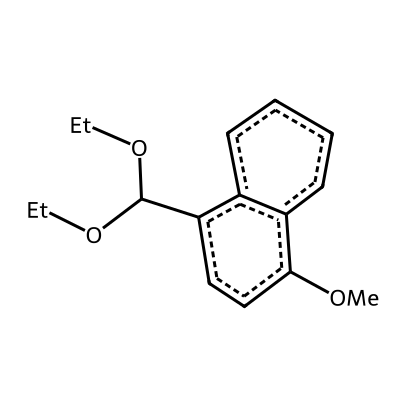 CCOC(OCC)c1ccc(OC)c2ccccc12